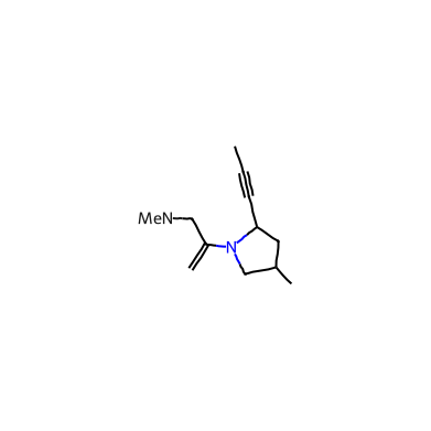 C=C(CNC)N1CC(C)CC1C#CC